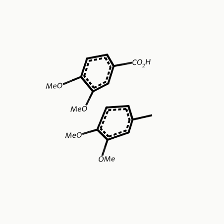 COc1ccc(C(=O)O)cc1OC.COc1ccc(C)cc1OC